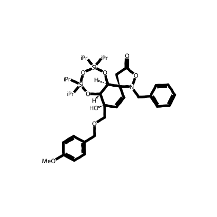 COc1ccc(COC[C@]2(O)C=C[C@]3(CC(=O)ON3Cc3ccccc3)[C@@H]3O[Si](C(C)C)(C(C)C)O[Si](C(C)C)(C(C)C)O[C@@H]32)cc1